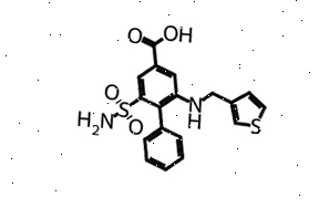 NS(=O)(=O)c1cc(C(=O)O)cc(NCc2ccsc2)c1-c1ccccc1